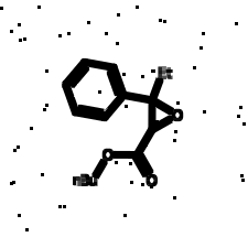 CCCCOC(=O)C1OC1(CC)c1ccccc1